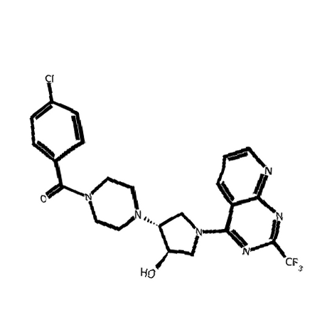 O=C(c1ccc(Cl)cc1)N1CCN([C@@H]2CN(c3nc(C(F)(F)F)nc4ncccc34)C[C@H]2O)CC1